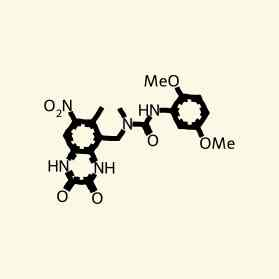 COc1ccc(OC)c(NC(=O)N(C)Cc2c(C)c([N+](=O)[O-])cc3[nH]c(=O)c(=O)[nH]c23)c1